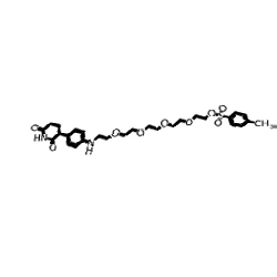 Cc1ccc(S(=O)(=O)OCCOCCOCCOCCOCCNc2ccc(C3CCC(=O)NC3=O)cc2)cc1